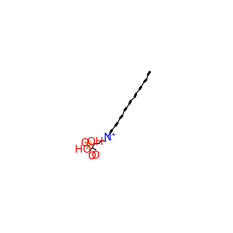 C#CC#CC#CC#CC#CC#CC#CC#CC#C[N+](C)(C)CCCCC(C=O)(C=O)P(=O)(O)O